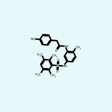 Cc1ccc(NS(=O)(=O)c2c(C)c(C)cc(C)c2C)cc1NC(=O)Cc1ccc(C#N)cc1